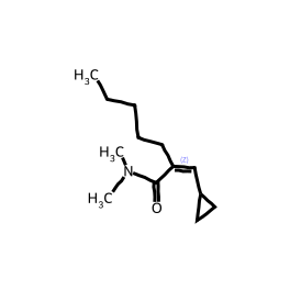 CCCCC/C(=C/C1CC1)C(=O)N(C)C